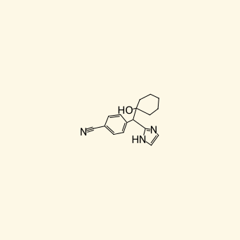 N#Cc1ccc(C(c2ncc[nH]2)C2(O)CCCCC2)cc1